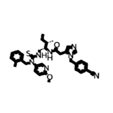 CC[C@H](C)[C@@H](CNC(=S)N(Cc1ccccc1C)c1ccc(OC)nc1)NC(=O)Cc1cncn1Cc1ccc(C#N)cc1